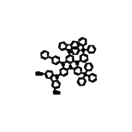 CC(C)(C)c1ccc2c(c1)c1cc(C(C)(C)C)ccc1n2-c1ccc2c(c1)N(c1ccc(-c3ccccc3)cc1)c1cc(-n3c4ccccc4c4ccccc43)cc3c1B2c1ccc(S(c2ccccc2)(c2ccccc2)c2ccccc2)cc1N3c1cccc(S(c2ccccc2)(c2ccccc2)c2ccccc2)c1